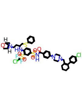 O=C(NS(=O)(=O)c1ccc(NC(CCN2C[C@H]3C[C@H]2CO3)CSc2ccccc2)c(S(=O)(=O)C(F)(F)Cl)c1)c1ccc(N2CCN(CC3=C(c4ccc(Cl)cc4)CCCC3)CC2)cc1